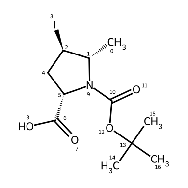 C[C@H]1[C@H](I)C[C@@H](C(=O)O)N1C(=O)OC(C)(C)C